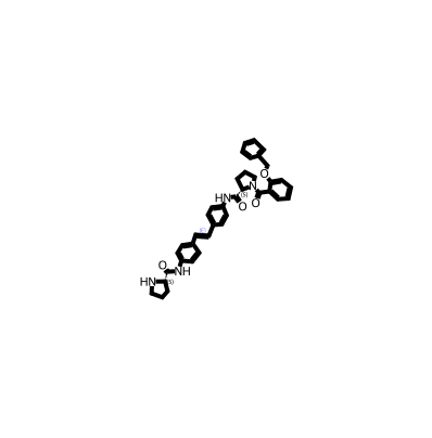 O=C(Nc1ccc(/C=C/c2ccc(NC(=O)[C@@H]3CCCN3C(=O)c3ccccc3OCc3ccccc3)cc2)cc1)[C@@H]1CCCN1